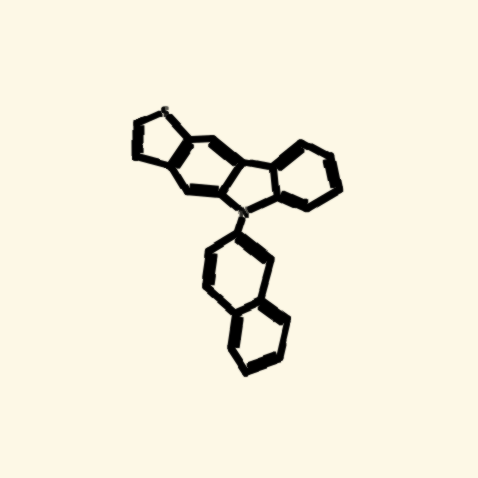 c1ccc2cc(-n3c4ccccc4c4cc5sccc5cc43)ccc2c1